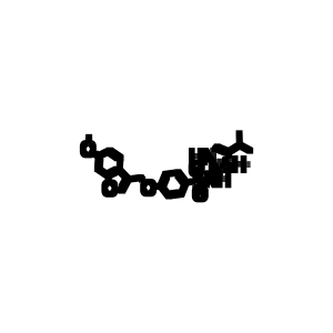 COc1ccc2c(COc3ccc(S(=O)(=O)NN4NC=C(C(C)C)[SH]4)cc3)coc2c1